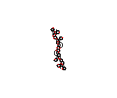 c1ccc(N(c2ccc3c(c2)oc2cc4cc5c(cc4cc23)oc2cc(N(c3ccccc3)c3ccc4ccc6c(c4c3)c3ccccc3n6-c3ccccc3)ccc25)c2ccc3ccc4c(c3c2)c2ccccc2n4-c2ccccc2)cc1